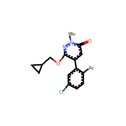 CC(=O)c1ccc(Cl)cc1-c1cc(=O)n(C(C)(C)C)nc1OCC1CC1